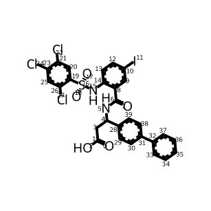 O=C(O)CC(NC(=O)c1cc(I)ccc1NS(=O)(=O)c1cc(Cl)c(Cl)cc1Cl)c1ccc(-c2ccccc2)cc1